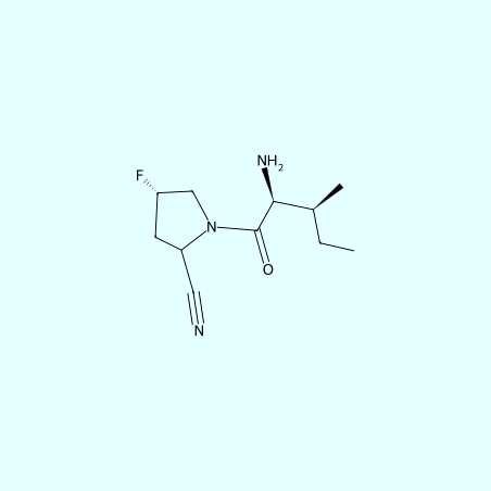 CC[C@H](C)[C@H](N)C(=O)N1C[C@@H](F)CC1C#N